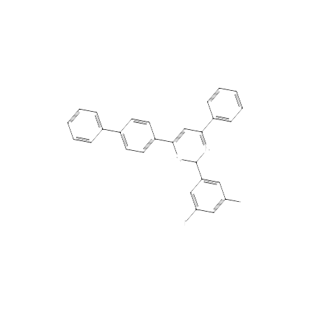 Clc1cc(Cl)cc(C2N=C(c3ccccc3)C=C(c3ccc(-c4ccccc4)cc3)N2)c1